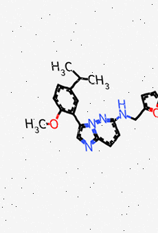 COc1ccc(C(C)C)cc1-c1cnc2ccc(NCc3ccco3)nn12